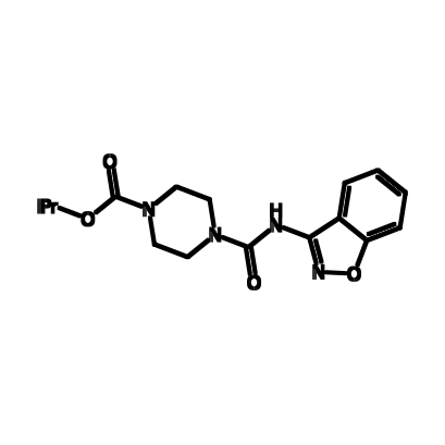 CC(C)OC(=O)N1CCN(C(=O)Nc2noc3ccccc23)CC1